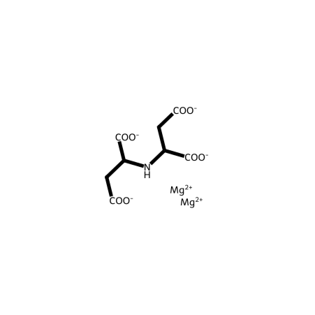 O=C([O-])CC(NC(CC(=O)[O-])C(=O)[O-])C(=O)[O-].[Mg+2].[Mg+2]